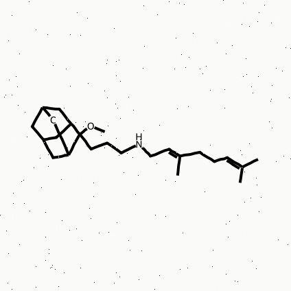 COC1(CCCNC/C=C(\C)CCC=C(C)C)C2CC3CC(C2)CC1C3